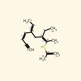 C#C/C=C\C(=C/C)C/C(CC)=C(/C)SC(=C)C